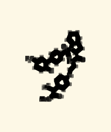 COC(=O)C(c1ccc(OCCNC(=O)[C@@H]2Cc3ccccc3N2S(=O)(=O)c2ccc(-c3cc(C(F)(F)F)ccc3Cl)cc2)cc1)C(C)C